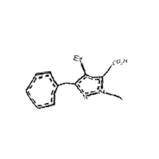 CCc1c(-c2ccccc2)nn(C)c1C(=O)O